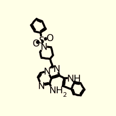 Nc1nccn2c(C3CCN(S(=O)(=O)c4ccccc4)CC3)nc(-c3cc4ccccc4[nH]3)c12